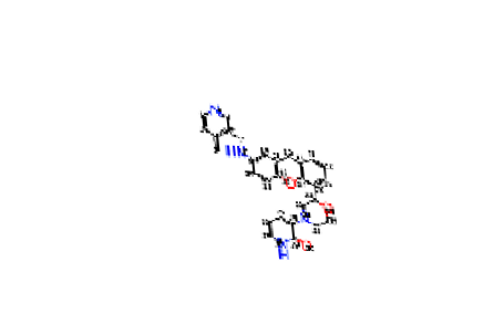 Cc1ccncc1CNc1ccc2c(c1)Cc1cccc(C3CN(c4ccc[nH]c4=O)CCO3)c1O2